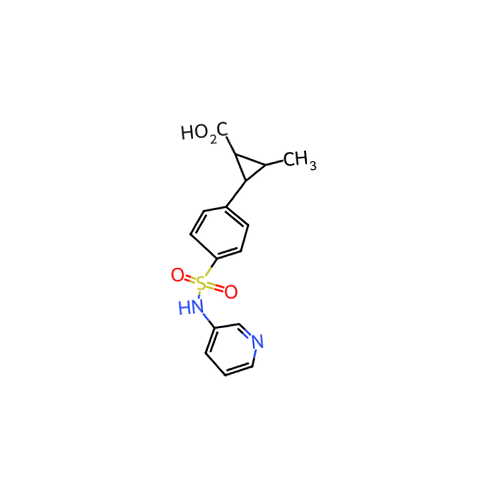 CC1C(C(=O)O)C1c1ccc(S(=O)(=O)Nc2cccnc2)cc1